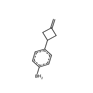 Bc1ccc(C2CC(=C)C2)cc1